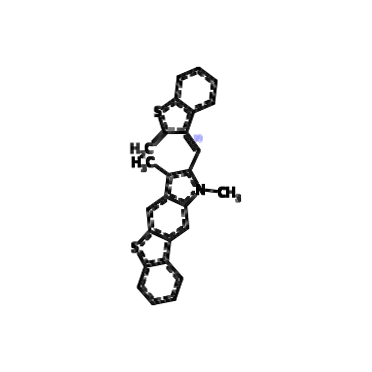 C=c1sc2ccccc2/c1=C/c1c(C)c2cc3sc4ccccc4c3cc2n1C